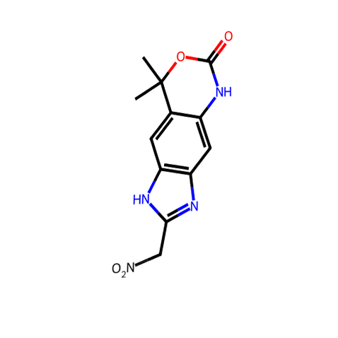 CC1(C)OC(=O)Nc2cc3nc(C[N+](=O)[O-])[nH]c3cc21